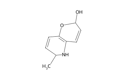 CC1C=CC2=C(C=CC(O)O2)N1